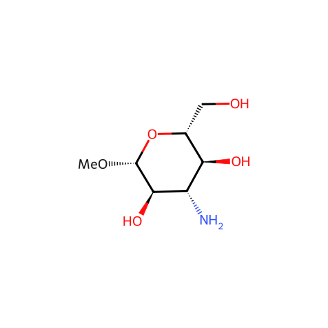 CO[C@@H]1O[C@H](CO)[C@@H](O)[C@H](N)[C@H]1O